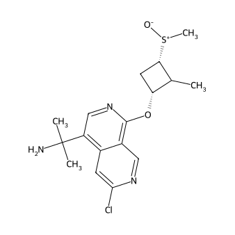 CC1[C@H](Oc2ncc(C(C)(C)N)c3cc(Cl)ncc23)C[C@@H]1[S+](C)[O-]